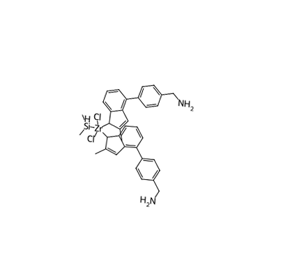 CC1=Cc2c(-c3ccc(CN)cc3)cccc2[CH]1[Zr]([Cl])([Cl])([CH]1C(C)=Cc2c(-c3ccc(CN)cc3)cccc21)[SiH](C)C